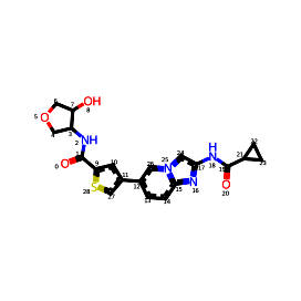 O=C(NC1COCC1O)c1cc(-c2ccc3nc(NC(=O)C4CC4)cn3c2)cs1